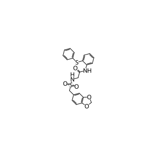 O=C(CNS(=O)(=O)Cc1ccc2c(c1)OCO2)Nc1ccccc1Sc1ccccc1